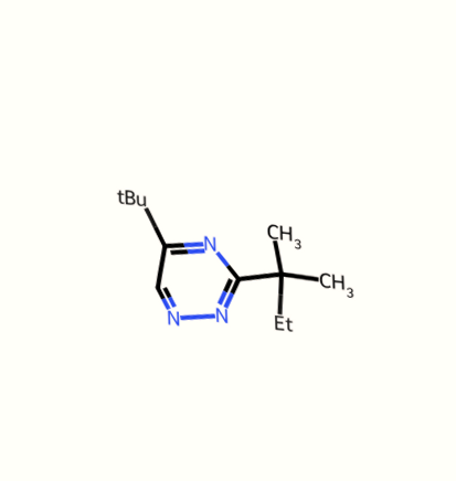 CCC(C)(C)c1nncc(C(C)(C)C)n1